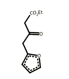 CCOC(=O)CC(=O)Cc1ccco1